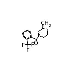 C=C1CCCN(C(=O)c2ccccc2C(F)(F)F)C1